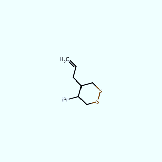 C=CCC1CSSCC1C(C)C